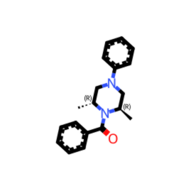 C[C@@H]1CN(c2ccccc2)C[C@@H](C)N1C(=O)c1ccccc1